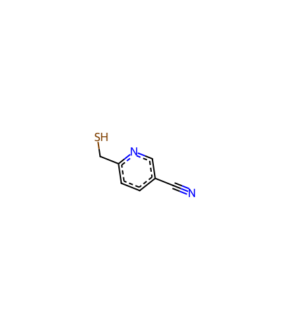 N#Cc1ccc(CS)nc1